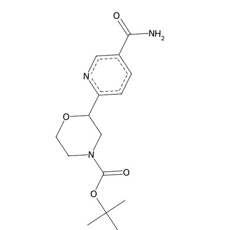 CC(C)(C)OC(=O)N1CCOC(c2ccc(C(N)=O)cn2)C1